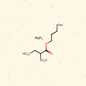 CCCCCCCCCCCCCOC(=O)C(CC(=O)O)S(=O)(=O)O.[MgH2]